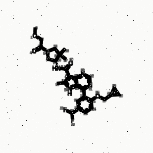 COCC(=O)N1C[C@@H](NC(=O)c2c(C)[nH]c3c(-c4cc(C(F)F)ccc4OCC4CC4)ncnc23)C(C)(C)C1